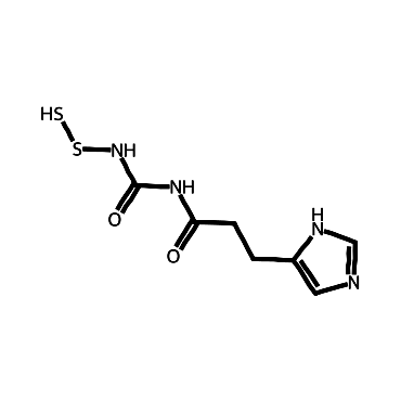 O=C(CCc1cnc[nH]1)NC(=O)NSS